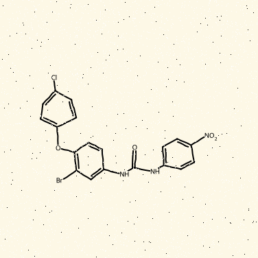 O=C(Nc1ccc([N+](=O)[O-])cc1)Nc1ccc(Oc2ccc(Cl)cc2)c(Br)c1